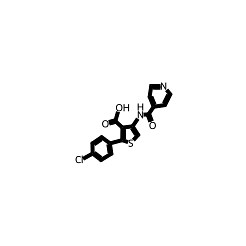 O=C(Nc1csc(-c2ccc(Cl)cc2)c1C(=O)O)c1ccncc1